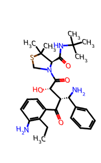 CCc1c(N)cccc1C(=O)[C@@H](C(N)c1ccccc1)[C@H](O)C(=O)N1CSC(C)(C)[C@H]1C(=O)NC(C)(C)C